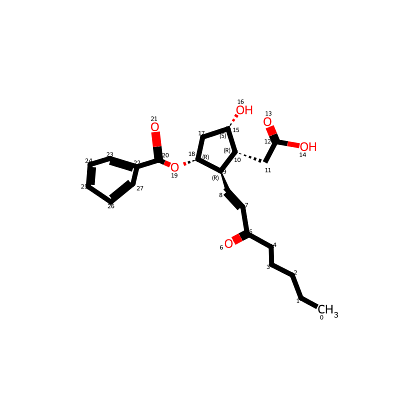 CCCCCC(=O)C=C[C@@H]1[C@@H](CC(=O)O)[C@@H](O)C[C@H]1OC(=O)c1ccccc1